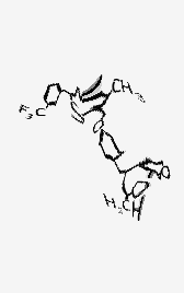 C=C(O)C[C@@H](c1ccc(OCc2sc(-c3cccc(C(F)(F)F)c3)nc2C)cc1)c1ccon1